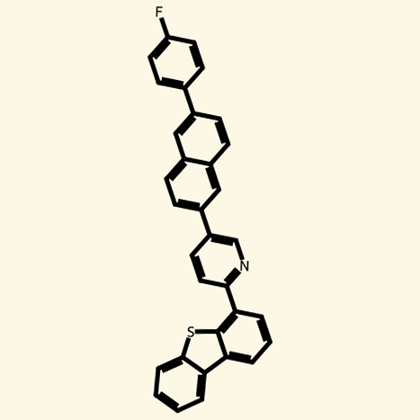 Fc1ccc(-c2ccc3cc(-c4ccc(-c5cccc6c5sc5ccccc56)nc4)ccc3c2)cc1